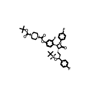 CC(C)(C)OC(=O)N1CCN(C(=O)Oc2ccc([C@@H]3[C@@H](CC[C@H](O[Si](C)(C)C(C)(C)C)c4ccc(F)cc4)C(=O)N3c3ccc(F)cc3)c(F)c2)CC1